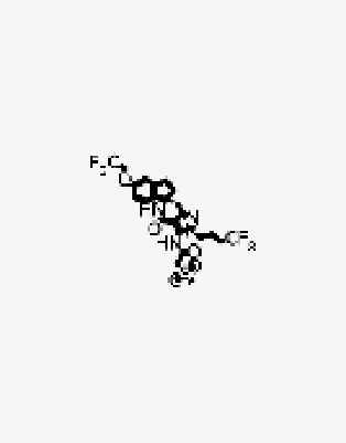 CS(=O)(=O)CC(=O)Nc1c2c(nn1CCCC(F)(F)F)C[C@]1(CCc3cc(OCC(F)(F)F)ccc31)NC2=O